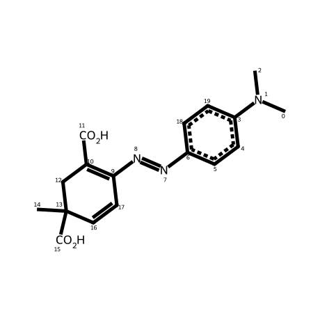 CN(C)c1ccc(/N=N/C2=C(C(=O)O)CC(C)(C(=O)O)C=C2)cc1